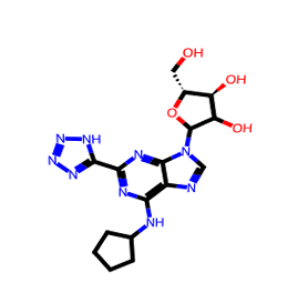 OC[C@H]1OC(n2cnc3c(NC4CCCC4)nc(-c4nnn[nH]4)nc32)C(O)[C@@H]1O